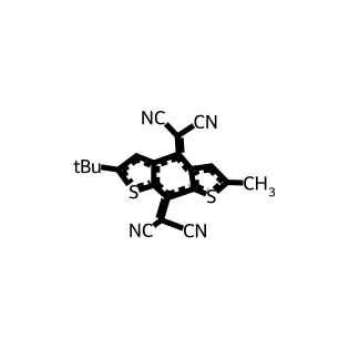 Cc1cc2c(=C(C#N)C#N)c3cc(C(C)(C)C)sc3c(=C(C#N)C#N)c2s1